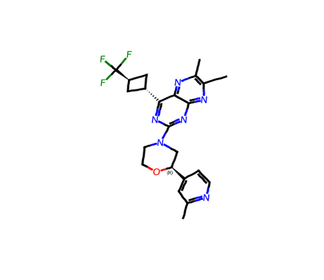 Cc1cc([C@@H]2CN(c3nc4nc(C)c(C)nc4c([C@H]4C[C@H](C(F)(F)F)C4)n3)CCO2)ccn1